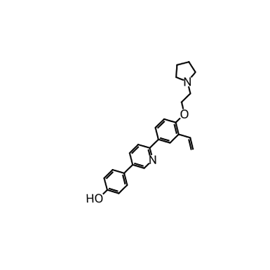 C=Cc1cc(-c2ccc(-c3ccc(O)cc3)cn2)ccc1OCCN1CCCC1